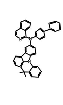 CC1(C)c2ccccc2-n2c3ccc(N(c4ccc(-c5ccccc5)cc4)c4nccc5ccccc45)cc3c3cccc1c32